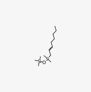 CCCCCC=CC[Si](C)(C)O[Si](C)(C)C